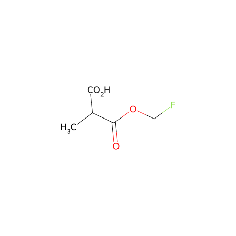 CC(C(=O)O)C(=O)OCF